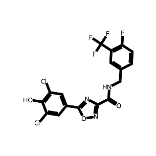 O=C(NCc1ccc(F)c(C(F)(F)F)c1)c1noc(-c2cc(Cl)c(O)c(Cl)c2)n1